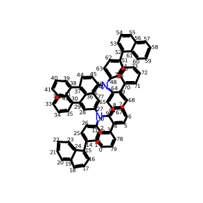 c1ccc(-c2ccccc2N(c2ccc(-c3cccc4ccccc34)cc2)c2cc(-c3ccccc3)c3c(-c4ccccc4)ccc(N(c4ccc(-c5cccc6ccccc56)cc4)c4ccccc4-c4ccccc4)c3c2)cc1